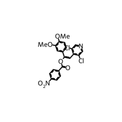 COc1ccc(/C(=C\c2c(Cl)cncc2Cl)OC(=O)c2ccc([N+](=O)[O-])cc2)cc1OC